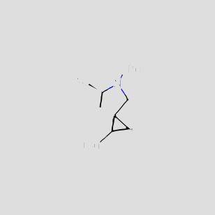 CC(=O)[C@@H]1C[C@@]2(CC2C(C)(C)C)CN1C(C)(C)C